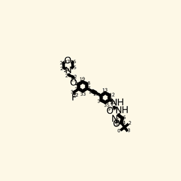 CC(C)(C)c1cc(NC(=O)Nc2ccc(C#Cc3ccc(OCCN4CCOCC4)c(CF)c3)cc2)no1